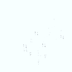 CNc1cnc(-c2cncc(C)c2)nc1C(F)(F)F